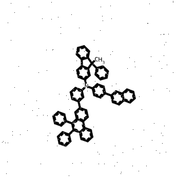 CC1(c2ccccc2)c2ccccc2-c2ccc(N(c3ccc(-c4ccc5ccccc5c4)cc3)c3cccc(-c4ccc5c(c4)c(-c4ccccc4)c(-c4ccccc4)c4ccccc45)c3)cc21